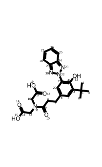 CC(C)(C)c1cc(CCC(=O)N(CC(=O)O)CC(=O)O)cc(-n2nc3ccccc3n2)c1O